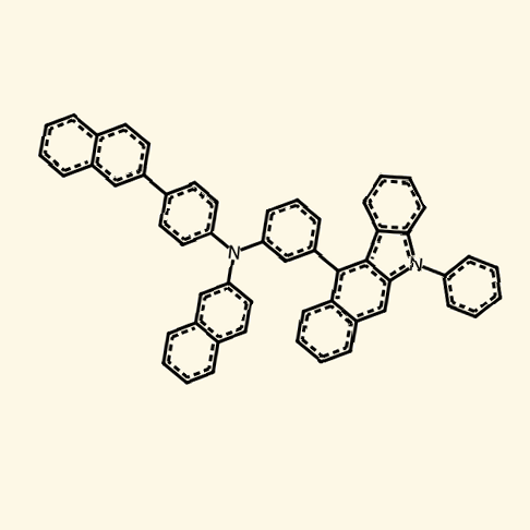 c1ccc(-n2c3ccccc3c3c(-c4cccc(N(c5ccc(-c6ccc7ccccc7c6)cc5)c5ccc6ccccc6c5)c4)c4ccccc4cc32)cc1